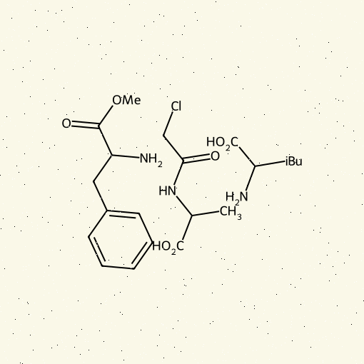 CC(NC(=O)CCl)C(=O)O.CCC(C)C(N)C(=O)O.COC(=O)C(N)Cc1ccccc1